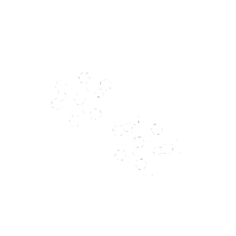 CC(C)(C)c1ccc(N2c3ccc(C(C)(C)C)cc3B3c4oc5cc6c(cc5c4N(c4ccc5c(c4)C(C)(C)CCC5(C)C)c4cc(-n5c7ccccc7c7c(CC(C)(C)c8ccc9c(c8)B8c%10oc%11cc%12c(cc%11c%10N(c%10ccc%11c(c%10)C(C)(C)CCC%11(C)C)c%10cc(-n%11c%13ccccc%13c%13ccccc%13%11)cc(c%108)N9c8cc(C(C)(C)C)cc(C(C)(C)C)c8)C(C)(C)CCC%12(C)C)cccc75)cc2c43)C(C)(C)CCC6(C)C)cc1